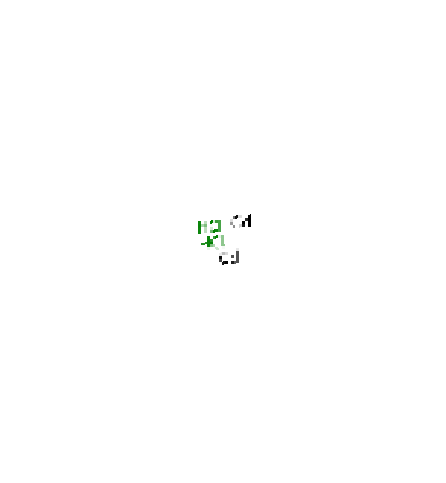 Cl.Cl.[Cd].[Cd]